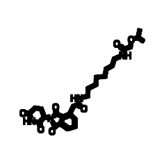 CC(C)OCC(=O)NCCCCCCCCNC(=O)Cc1cccc2c1C(=O)N(C1CCC(=O)NC1=O)C2=O